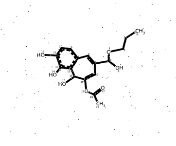 CCCOC(O)C1=Cc2ccc(O)c(O)c2C(O)C(OC(C)=O)=C1